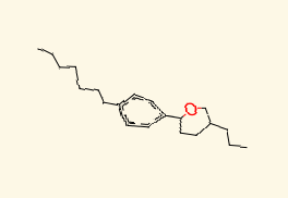 CCCCCCCc1ccc(C2CCC(CCC)CO2)cc1